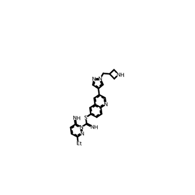 CCc1ccc(=N)n(C(=N)Sc2ccc3ncc(-c4cnn(CC5CNC5)c4)cc3c2)n1